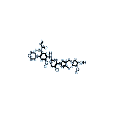 C=CC(=O)Nc1cc(Nc2ncc(Cl)c(-n3cc(CN4C[C@@H](O)[C@H](OC)C4)c(C)n3)n2)c(OC)cc1N1CCOCC1